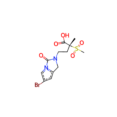 C[C@@](CCN1Cc2cc(Br)cn2C1=O)(C(=O)O)S(C)(=O)=O